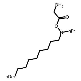 CCCCCCCCCCCCCCCCCCN(CCC)OC(=O)CN